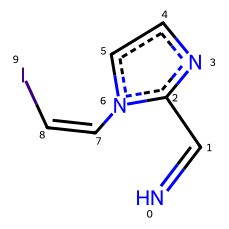 N=Cc1nccn1/C=C\I